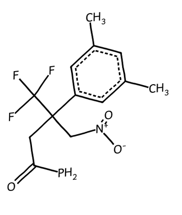 Cc1cc(C)cc(C(CC(=O)P)(C[N+](=O)[O-])C(F)(F)F)c1